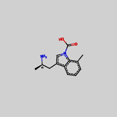 Cc1cccc2c(C[C@@H](C)N)cn(C(=O)O)c12